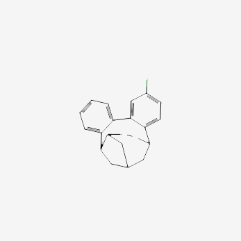 Clc1ccc2c(c1)-c1ccccc1C1CC3CC2CCC1C3